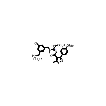 CCOC(=O)NCc1cc(Cl)cc(CN/C(=N\C(=O)c2c(-c3ccc(OC)cc3)noc2C)NC(=O)O)c1